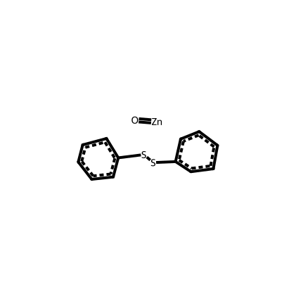 [O]=[Zn].c1ccc(SSc2ccccc2)cc1